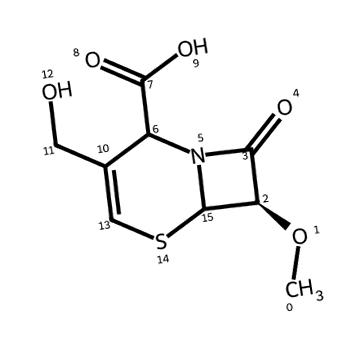 CO[C@@H]1C(=O)N2C(C(=O)O)C(CO)=CSC12